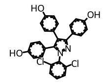 Oc1ccc(-c2nn(-c3c(Cl)cccc3Cl)c(-c3ccc(O)cc3)c2-c2ccc(O)cc2)cc1